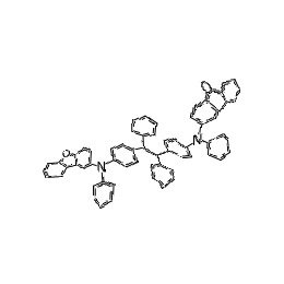 c1ccc(/C(=C(/c2ccccc2)c2ccc(N(c3ccccc3)c3ccc4oc5ccccc5c4c3)cc2)c2ccc(N(c3ccccc3)c3ccc4oc5ccccc5c4c3)cc2)cc1